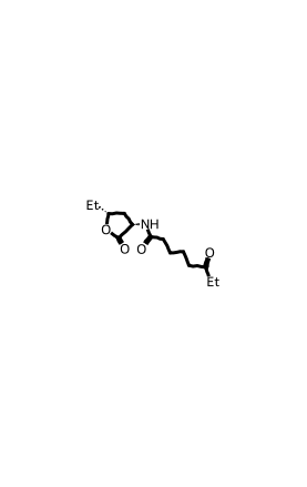 CCC(=O)CCCCC(=O)N[C@H]1C[C@@H](CC)OC1=O